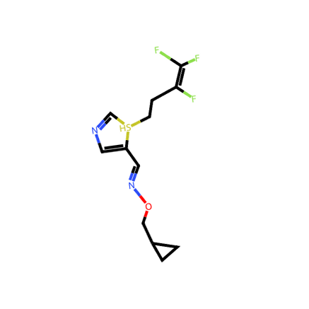 FC(F)=C(F)CC[SH]1C=NC=C1/C=N/OCC1CC1